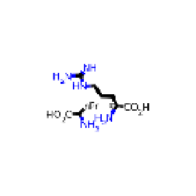 CCCC(N)C(=O)O.N=C(N)NCCC[C@H](N)C(=O)O